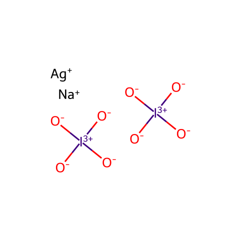 [Ag+].[Na+].[O-][I+3]([O-])([O-])[O-].[O-][I+3]([O-])([O-])[O-]